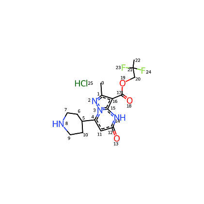 Cc1nn2c(C3CCNCC3)cc(=O)[nH]c2c1C(=O)OCC(C)(F)F.Cl